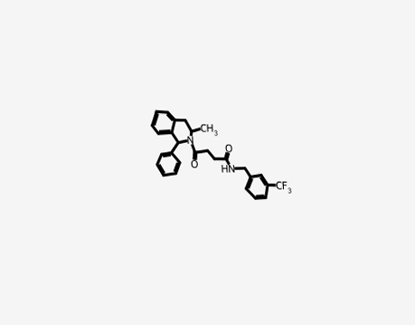 CC1Cc2ccccc2C(c2ccccc2)N1C(=O)CCC(=O)NCc1cccc(C(F)(F)F)c1